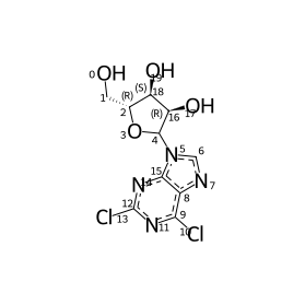 OC[C@H]1OC(n2cnc3c(Cl)nc(Cl)nc32)[C@H](O)[C@@H]1O